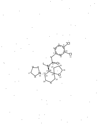 CN(C(=O)Cc1ccc(Cl)c(Cl)c1)[C@@H]1[C@@H](N2CCCC2)CCCC12CCCO2